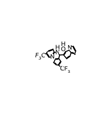 Oc1c(C(Nc2ccc(C(F)(F)F)cn2)c2cccc(C(F)(F)F)c2)ccc2cccnc12